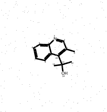 Cc1cnc2ccccc2c1C(C)(C)O